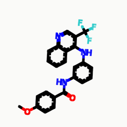 COc1ccc(C(=O)Nc2cccc(Nc3c(C(F)(F)F)cnc4ccccc34)c2)cc1